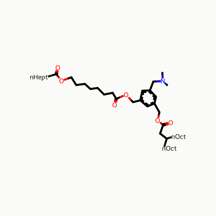 CCCCCCCCC(CCCCCCCC)CC(=O)OCc1cc(COC(=O)CCCCCCCOC(=O)CCCCCCC)cc(CN(C)C)c1